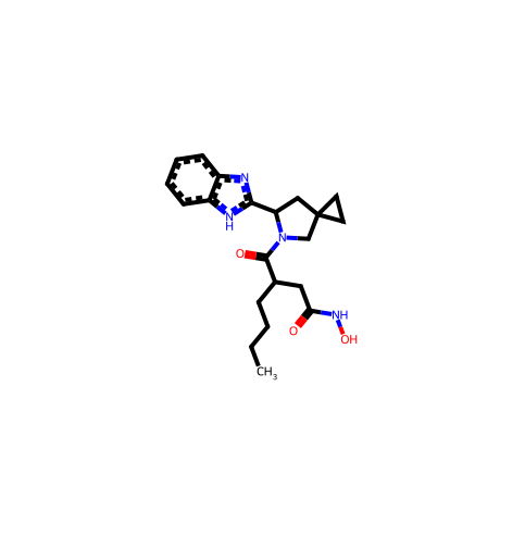 CCCCC(CC(=O)NO)C(=O)N1CC2(CC2)CC1c1nc2ccccc2[nH]1